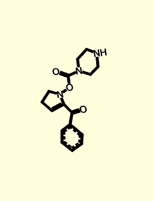 O=C(C1=CCCN1OC(=O)N1CCNCC1)c1ccccc1